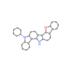 c1ccc(-n2c3ccccc3c3c4[nH]c5ccc6c7ccccc7oc6c5c4ccc32)cc1